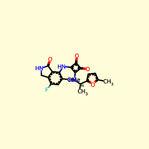 COc1cc(F)c2c(c1Nc1c(N[C@H](C)c3ccc(C)o3)c(=O)c1=O)C(=O)NC2